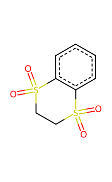 O=S1(=O)CCS(=O)(=O)c2ccccc21